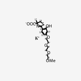 COCCOCCOCCOc1ccc(C2=N[C@@](C)(C(=O)[O-])CS2)c(O)c1.[K+]